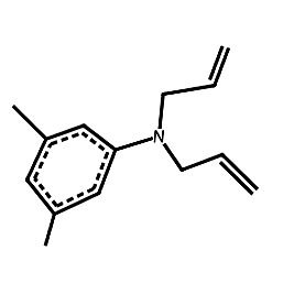 C=CCN(CC=C)c1cc(C)cc(C)c1